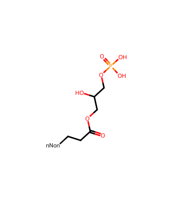 CCCCCCCCCCCC(=O)OCC(O)COP(=O)(O)O